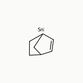 C1=CC2CCC1C2.[Sn]